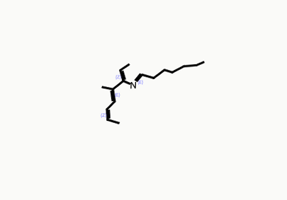 C\C=C/C=C(C)/C(=C/C)/N=C/CCCCCC